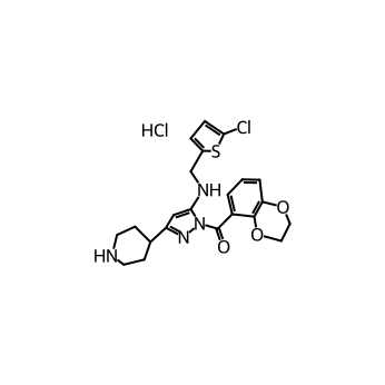 Cl.O=C(c1cccc2c1OCCO2)n1nc(C2CCNCC2)cc1NCc1ccc(Cl)s1